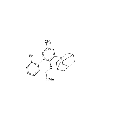 COCOc1c(-c2ccccc2Br)cc(C)cc1C12CC3CC(CC(C3)C1)C2